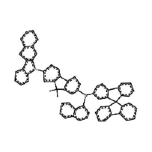 CC1(C)c2cc(N(c3ccc4c(c3)C3(c5ccccc5-c5ccccc53)c3ccccc3-4)c3cccc4ccccc34)ccc2-c2ccc(-n3c4ccccc4c4cc5ccccc5cc43)cc21